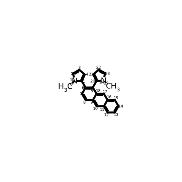 Cn1cccc1-c1ccc2cc3ccccc3cc2c1-c1cccn1C